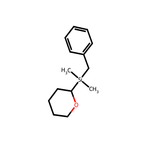 C[Si](C)(Cc1ccccc1)C1CCCCO1